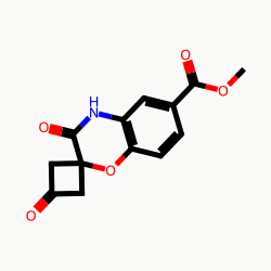 COC(=O)c1ccc2c(c1)NC(=O)C1(CC(=O)C1)O2